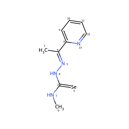 CNC(=[Se])NN=C(C)c1ccccn1